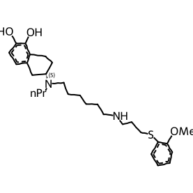 CCCN(CCCCCCNCCCSc1ccccc1OC)[C@H]1CCc2c(ccc(O)c2O)C1